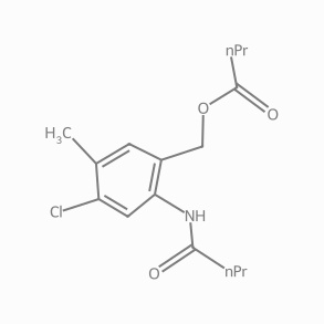 CCCC(=O)Nc1cc(Cl)c(C)cc1COC(=O)CCC